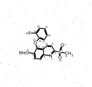 COc1ccc2nc(S(C)(=O)=O)ccc2c1Oc1ccccc1F